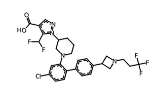 O=C(O)c1cnn(C2CCCN(c3cc(Cl)ccc3-c3ccc(C4CN(CCC(F)(F)F)C4)cc3)C2)c1C(F)F